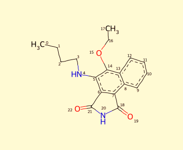 CCCCNc1c2c(c3ccccc3c1OCC)C(=O)NC2=O